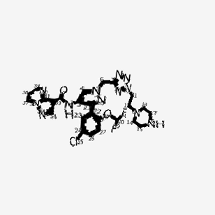 O=C(Nc1cn(Cc2nnn(CCN3CCNCC3)n2)nc1-c1cc(Cl)ccc1OC(F)F)c1cnn2cccnc12